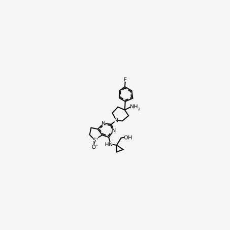 NC1(c2ccc(F)cc2)CCN(c2nc3c(c(NC4(CO)CC4)n2)[S+]([O-])CC3)CC1